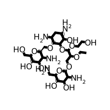 CCOC(CO[C@H]1OC(CN)[C@@H](O)C(O)C1N)C(OCCO)OC1C(O)[C@H](N)CC(N)[C@H]1OC[C@@H]1OC(CO)[C@@H](O)C(O)C1N